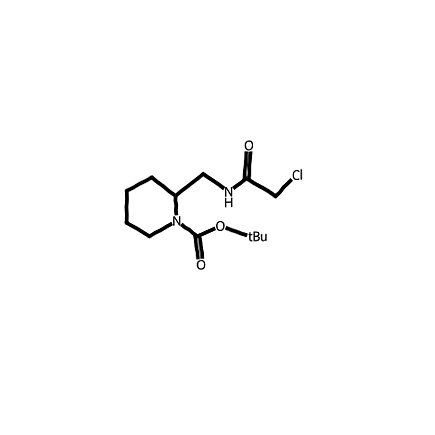 CC(C)(C)OC(=O)N1CCCCC1CNC(=O)CCl